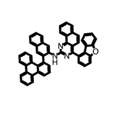 c1ccc2cc(-c3cccc4c5ccccc5c5ccccc5c34)c(Nc3nc(-c4cccc5oc6ccccc6c45)c4ccc5ccccc5c4n3)cc2c1